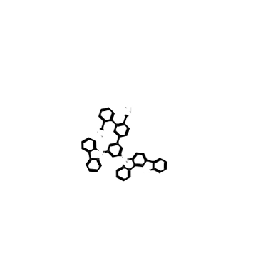 N#Cc1ccccc1-c1cc(-c2cc(-n3c4ccccc4c4ccccc43)cc(-n3c4ccccc4c4c5oc6ccccc6c5ccc43)c2)ccc1C#N